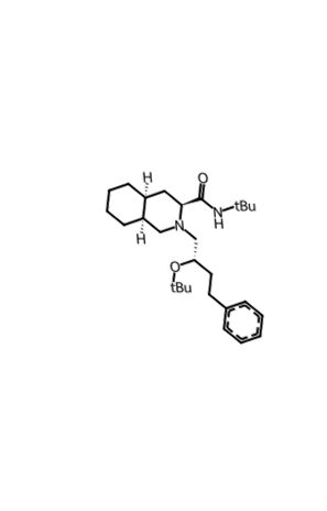 CC(C)(C)NC(=O)[C@@H]1C[C@@H]2CCCC[C@@H]2CN1C[C@H](CCc1ccccc1)OC(C)(C)C